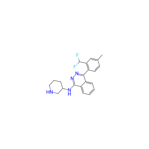 Cc1ccc(-c2nnc(NC3CCCNC3)c3ccccc23)c(C(F)F)c1